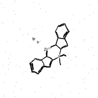 C[Si]1(C)C2=Cc3ccccc3[CH]2[Zr+2][CH]2C1=Cc1ccccc12.[Br-].[Br-]